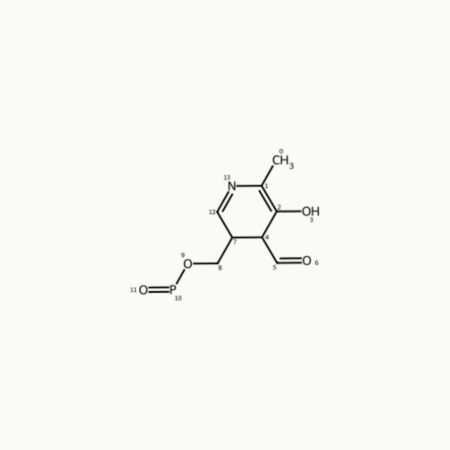 CC1=C(O)C(C=O)C(COP=O)C=N1